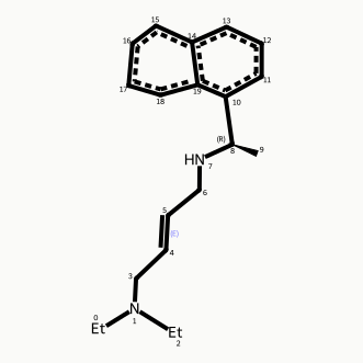 CCN(CC)C/C=C/CN[C@H](C)c1cccc2ccccc12